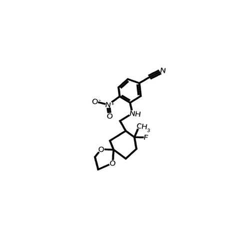 CC1(F)CCC2(CC1CNc1cc(C#N)ccc1[N+](=O)[O-])OCCO2